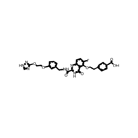 O=C(O)c1ccc(CCOc2c(F)ccc3nc(C(=O)NCc4cccc(OCCOc5nc[nH]n5)c4)[nH]c(=O)c23)cc1